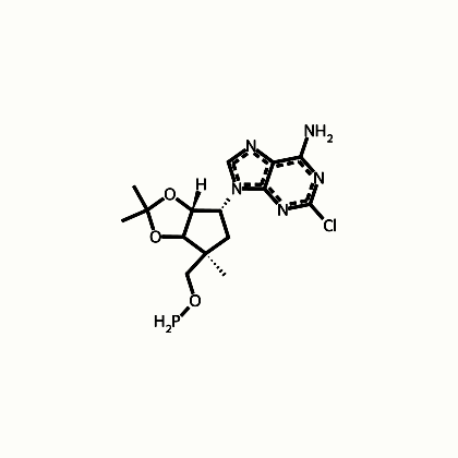 CC1(C)OC2[C@H](O1)[C@H](n1cnc3c(N)nc(Cl)nc31)C[C@@]2(C)COP